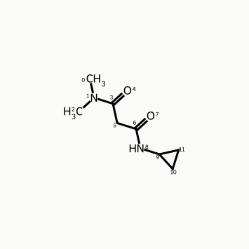 CN(C)C(=O)CC(=O)NC1CC1